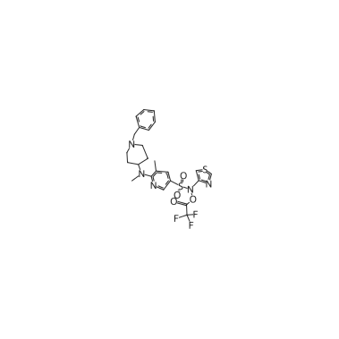 Cc1cc(S(=O)(=O)N(OC(=O)C(F)(F)F)c2cscn2)cnc1N(C)C1CCN(Cc2ccccc2)CC1